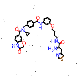 N[C@@H](Cc1cscn1)C(=O)NCCCCOc1cccc(NC(=O)c2ccc(CN(C(=O)c3ccc4c(c3)OCC(=O)N4)C3CC3)cc2)c1